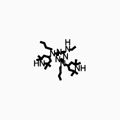 CCCCN(c1nc(NCC)nc(N(CCCC)C2CC(C)(C)NC(C)(C)C2)n1)C1CC(C)(C)NC(C)(C)C1